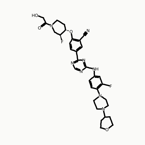 N#Cc1cc(-c2ncnc(Nc3ccc(N4CCN(C5CCOCC5)CC4)c(F)c3)n2)ccc1O[C@H]1CCN(C(=O)CO)C[C@@H]1F